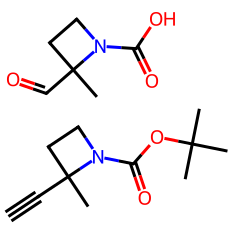 C#CC1(C)CCN1C(=O)OC(C)(C)C.CC1(C=O)CCN1C(=O)O